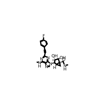 CNC(=O)[C@@]12C[C@@H]1[C@@H](n1cnc3c(NC)nc(C#Cc4ccc(F)cc4)nc31)[C@H](O)[C@@H]2O